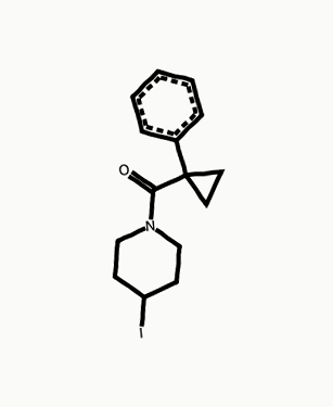 O=C(N1CCC(I)CC1)C1(c2ccccc2)CC1